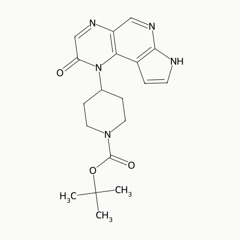 CC(C)(C)OC(=O)N1CCC(n2c(=O)cnc3cnc4[nH]ccc4c32)CC1